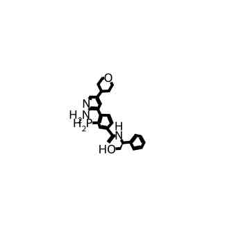 C=C(N[C@H](CO)c1ccccc1)c1ccc(-c2cc(C3CCOCC3)cnc2N)c(P)c1